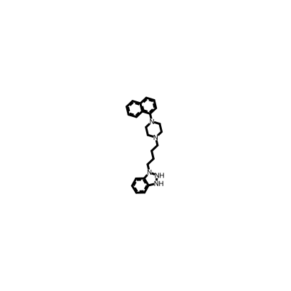 c1ccc2c(c1)NNN2CCCCN1CCN(c2cccc3ccccc23)CC1